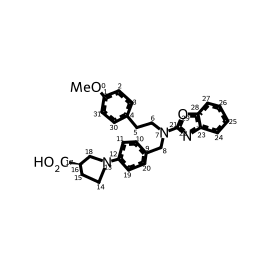 COc1ccc(CCN(Cc2ccc(N3CC[C@@H](C(=O)O)C3)cc2)c2nc3ccccc3o2)cc1